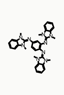 Cn1c(=Nc2ccc(N=c3n(C)c4ccccc4n3C)c(N=c3n(C)c4ccccc4n3C)c2)n(C)c2ccccc21